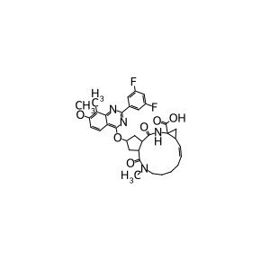 COc1ccc2c(OC3CC4C(=O)NC5(C(=O)O)CC5C=CCCCCN(C)C(=O)C4C3)nc(-c3cc(F)cc(F)c3)nc2c1C